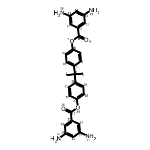 CC(C)(c1ccc(OC(=O)c2cc(N)cc(N)c2)cc1)c1ccc(OC(=O)c2cc(N)cc(N)c2)cc1